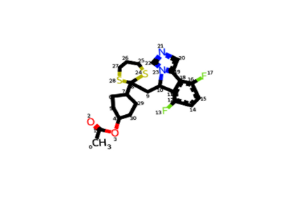 CC(=O)OC1CCC(C2(CC3c4c(F)ccc(F)c4-c4cncn43)SCCCS2)CC1